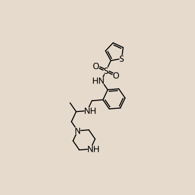 CC(CN1CCNCC1)NCc1ccccc1NS(=O)(=O)c1cccs1